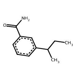 CCC(C)c1cccc(C(N)=O)c1